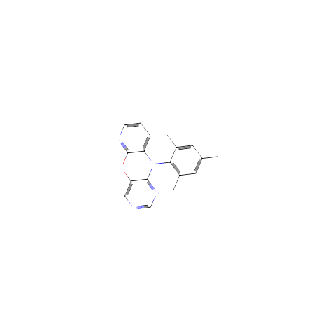 Cc1cc(C)c(N2c3cccnc3Oc3cncnc32)c(C)c1